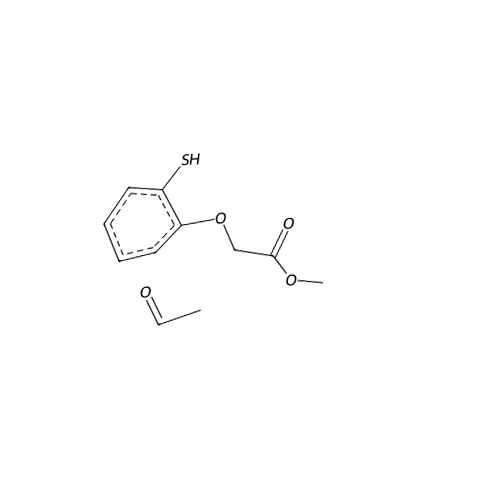 CC=O.COC(=O)COc1ccccc1S